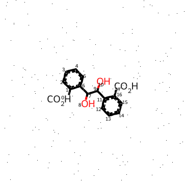 O=C(O)c1ccccc1C(O)C(O)c1ccccc1C(=O)O